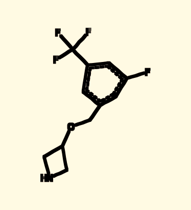 Fc1cc(COC2CNC2)cc(C(F)(F)F)c1